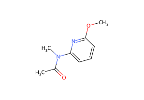 COc1cccc(N(C)C(C)=O)n1